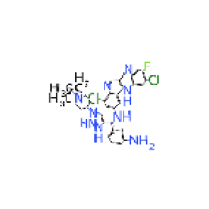 CC(C)(C)N1CCC(N2C=C([C@@H](Nc3cc(Cl)c4ncc(C#N)c(Nc5ccc(F)c(Cl)c5)c4c3)c3cccc(N)c3)NN2)CC1